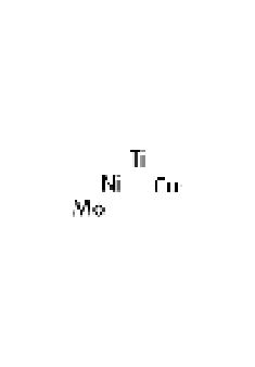 [Cu].[Mo].[Ni].[Ti]